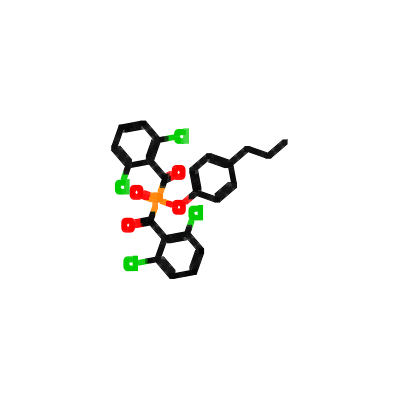 CCCc1ccc(OP(=O)(C(=O)c2c(Cl)cccc2Cl)C(=O)c2c(Cl)cccc2Cl)cc1